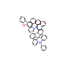 c1ccc(N2c3ccccc3C3(c4ccccc4-c4c(N(c5ccccc5-c5ccc6oc7ccccc7c6c5)c5ccccc5-c5ccccc5-c5cccc6ccccc56)cccc43)c3ccccc32)cc1